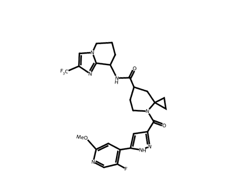 COc1cc(-c2cc(C(=O)N3CCC(C(=O)NC4CCCn5cc(C(F)(F)F)nc54)CC34CC4)n[nH]2)c(F)cn1